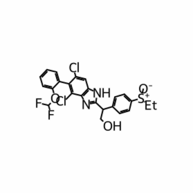 CC[S+]([O-])c1ccc(C(CO)c2nc3c(Cl)c(-c4ccccc4OC(F)F)c(Cl)cc3[nH]2)cc1